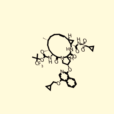 C[C@@H]1CC/C=C\[C@@H]2C[C@@]2(C(=O)NS(=O)(=O)C2CC2)NC(=O)[C@@H]2C[C@@H](Oc3ncc(OCC4CC4)c4ccccc34)CN2C(=O)[C@@H](NC(=O)OC(C)(C)C(F)(F)F)[C@H](C)C1